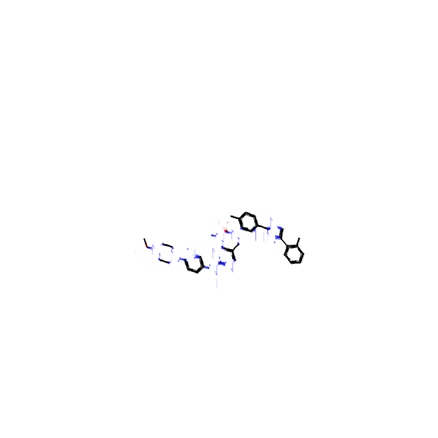 CC(=O)N1CCN(c2ccc(Nc3ncc4c(n3)N(C)C(=O)N(c3cc(-c5ncc(-c6ccccc6C)[nH]5)ccc3C)C4)cn2)CC1